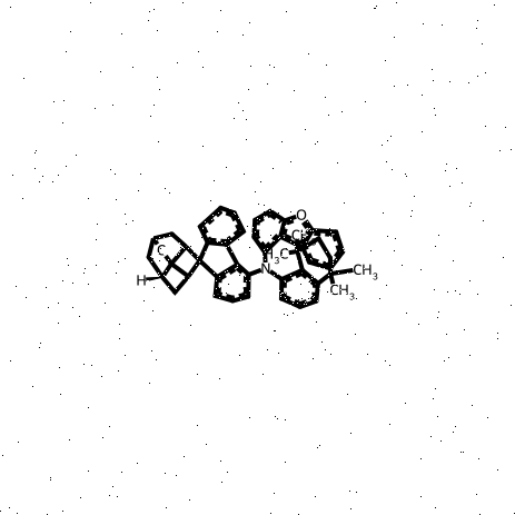 CC1(C)CCC(C)(C)c2c(N(c3cccc4c3-c3ccccc3C43C4CC5C[C@H]6CC3C46C5)c3cccc4oc5ccccc5c34)cccc21